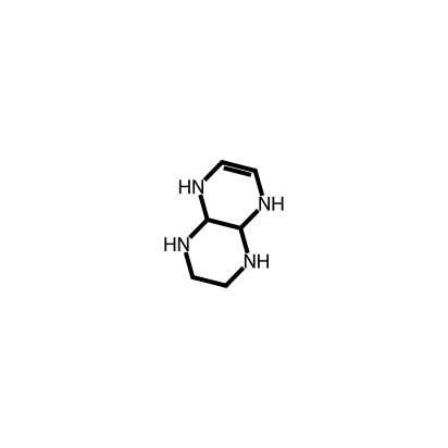 C1=CNC2NCCNC2N1